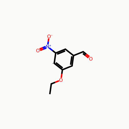 CCOc1[c]c([N+](=O)[O-])cc(C=O)c1